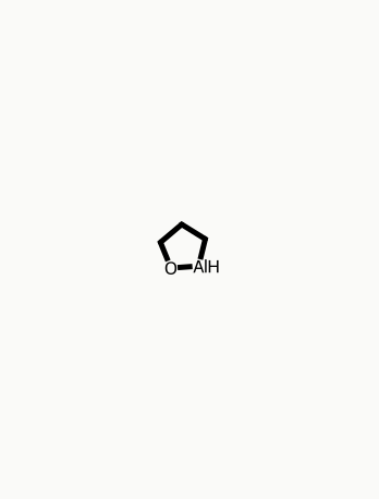 C1C[O][AlH][CH2]1